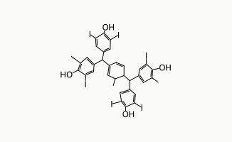 Cc1cc(C(C2=CC(C)C(C(c3cc(C)c(O)c(I)c3)c3cc(I)c(O)c(I)c3)C=C2)c2cc(I)c(O)c(I)c2)cc(I)c1O